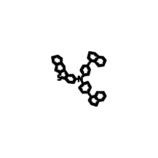 c1ccc2cc3c(cc2c1)sc1ccc(N(c2ccc(-c4cccc5ccccc45)cc2)c2ccc(-c4cccc5ccccc45)cc2)cc13